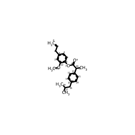 C=CCc1ccc(OC(=O)C(C)c2ccc(CC(C)C)cc2)c(OC)c1